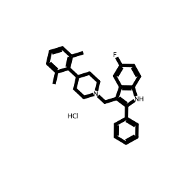 Cc1cccc(C)c1C1CCN(Cc2c(-c3ccccc3)[nH]c3ccc(F)cc23)CC1.Cl